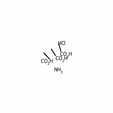 CC(=O)O.CC(=O)O.CC(=O)O.Cl.N